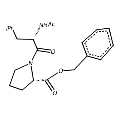 CC(=O)N[C@@H](CC(C)C)C(=O)N1CCC[C@H]1C(=O)OCc1ccccc1